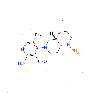 Nc1ncc(Br)c(N2CCC3[C@H](C2)OCCN3P)c1C=O